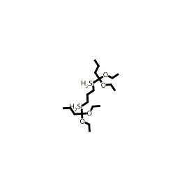 CCCC(OCC)(OCC)[SiH2]CCC[SiH2]C(CCC)(OCC)OCC